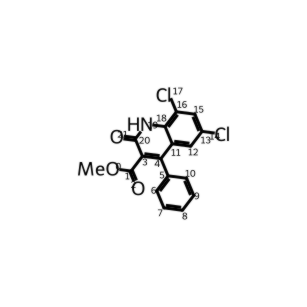 COC(=O)c1c(-c2ccccc2)c2cc(Cl)cc(Cl)c2[nH]c1=O